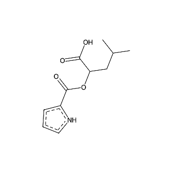 CC(C)CC(OC(=O)c1ccc[nH]1)C(=O)O